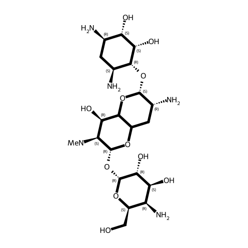 CN[C@@H]1[C@@H](O[C@H]2O[C@H](CO)[C@H](N)[C@H](O)[C@H]2O)OC2C[C@@H](N)[C@@H](O[C@H]3[C@@H](O)[C@@H](O)[C@H](N)C[C@@H]3N)OC2[C@@H]1O